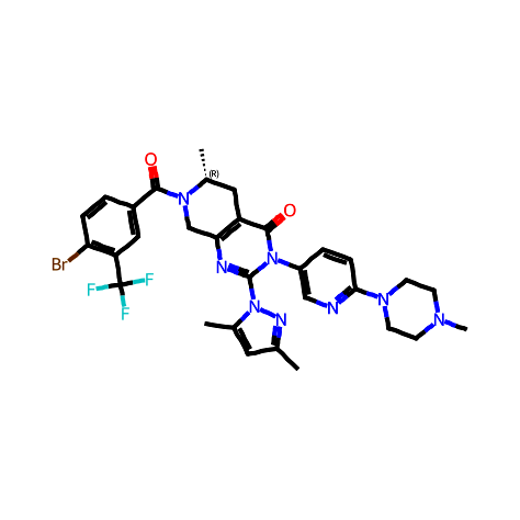 Cc1cc(C)n(-c2nc3c(c(=O)n2-c2ccc(N4CCN(C)CC4)nc2)C[C@@H](C)N(C(=O)c2ccc(Br)c(C(F)(F)F)c2)C3)n1